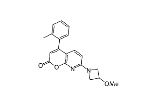 COC1CN(c2ccc3c(-c4ccccc4C)cc(=O)oc3n2)C1